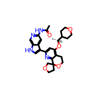 CC(=O)Nc1cc2c(-c3cc(O[C@H](C)C4CCOCC4)c4c(n3)C3(CCOC3)OCC4)c[nH]c2cn1